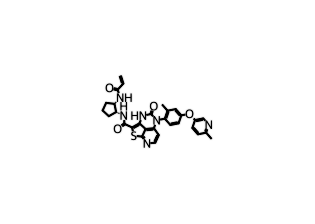 C=CC(=O)N[C@H]1CCC[C@H]1NC(=O)c1sc2nccc3c2c1NC(=O)N3c1ccc(Oc2ccc(C)nc2)cc1C